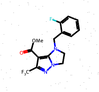 COC(=O)c1c(C(F)(F)F)nn2c1N(Cc1ccccc1F)CC2